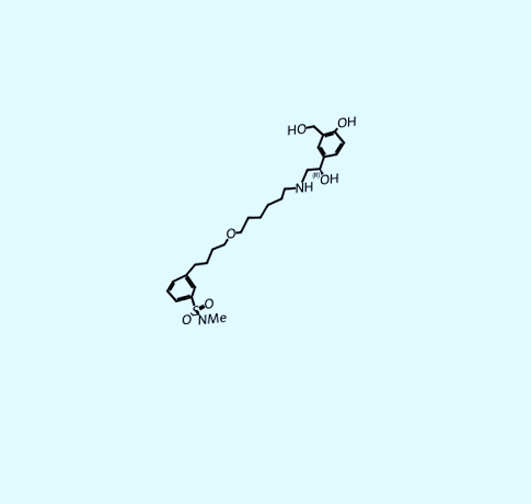 CNS(=O)(=O)c1cccc(CCCCOCCCCCCNC[C@H](O)c2ccc(O)c(CO)c2)c1